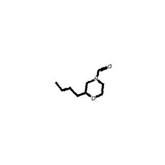 CC[CH]CC1CN(C=O)CCO1